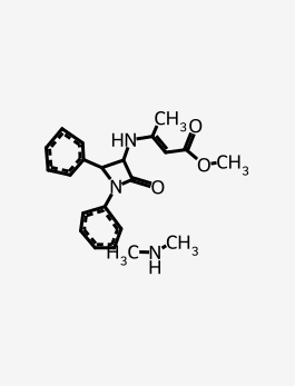 CNC.COC(=O)C=C(C)NC1C(=O)N(c2ccccc2)C1c1ccccc1